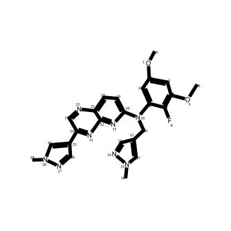 COc1cc(OC)c(F)c(N(Cc2cnn(C)c2)c2ccc3ncc(-c4cnn(C)c4)nc3n2)c1